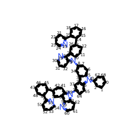 c1ccc(-n2c3ccc(-n4c5ccc(-c6ccccc6-c6ccccn6)cc5c5ncccc54)cc3c3cc(-n4c5ccc(-c6ccccc6-c6ccccn6)cc5c5ncccc54)ccc32)cc1